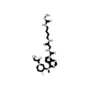 C[C@@H]1CCN(C(=O)CC#N)CC1N(C)c1ncnc2c1ccn2C(=O)NCC(=O)NCCCCNC(=O)OC(C)(C)C